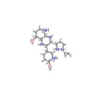 Cn1ccc(-c2nc3[nH]ccc(=O)c3nc2-c2ccc(=O)[nH]c2)n1